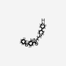 O=C(NCCCN1CCC(C2CCNCC2)CC1)c1ccc(Oc2ccccc2)cc1